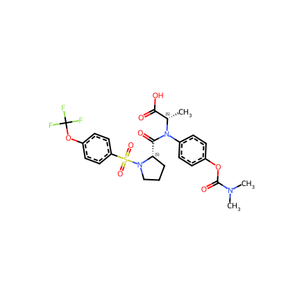 C[C@@H](C(=O)O)N(C(=O)[C@@H]1CCCN1S(=O)(=O)c1ccc(OC(F)(F)F)cc1)c1ccc(OC(=O)N(C)C)cc1